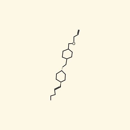 C=CCOCC1CCC(CC[C@H]2CC[C@H](/C=C/CCC)CC2)CC1